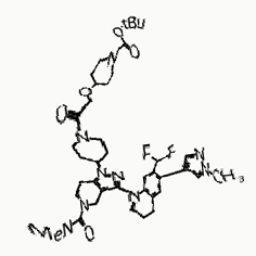 CNC(=O)N1CCc2c(c(N3CCCc4cc(-c5cnn(C)c5)c(C(F)F)cc43)nn2C2CCN(C(=O)COC3CCN(C(=O)OC(C)(C)C)CC3)CC2)C1